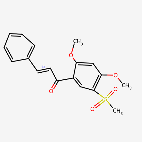 COc1cc(OC)c(S(C)(=O)=O)cc1C(=O)/C=C/c1ccccc1